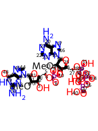 CO[C@@H]1[C@H](O)[C@@H](COP(=O)(O)O[C@H]2[C@@H](OC)[C@H](n3cnc4c(N)ncnc43)O[C@@H]2COP(=O)(O)OP(=O)(O)OP(=O)(O)O)O[C@H]1n1cnc2c(=O)[nH]c(N)nc21